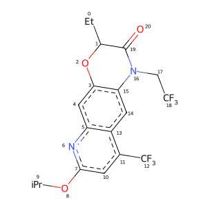 CCC1Oc2cc3nc(OC(C)C)cc(C(F)(F)F)c3cc2N(CC(F)(F)F)C1=O